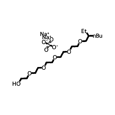 CCCCC(CC)COCCOCCOCCOCCOCCO.O=S(=O)([O-])[O-].[Na+].[Na+]